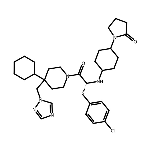 O=C([C@@H](Cc1ccc(Cl)cc1)NC1CCC(N2CCCC2=O)CC1)N1CCC(Cn2cncn2)(C2CCCCC2)CC1